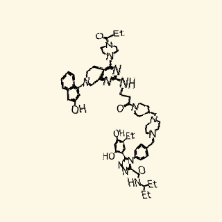 CCC(=O)N1CCN(c2nc(NCCC(=O)N3CCC(CN4CCN(Cc5ccc(-n6c(C(=O)NC(CC)CC)nnc6-c6cc(CC)c(O)cc6O)cc5)CC4)CC3)nc3c2CCN(c2cc(O)cc4ccccc24)C3)CC1